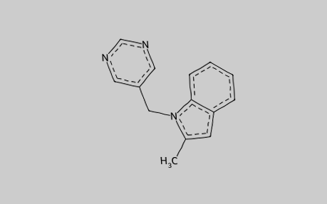 Cc1cc2ccccc2n1Cc1cncnc1